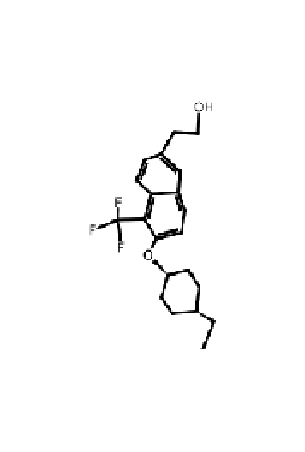 CC[C@H]1CC[C@@H](Oc2ccc3cc(CCO)ccc3c2C(F)(F)F)CC1